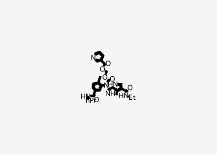 CCCNC(=O)c1ccc(C)c(N(C(=N)c2[nH]cc(C(=O)NCC)c2C)C(=O)OCOC(=O)c2cccnc2)c1